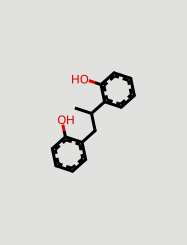 CC(Cc1ccccc1O)c1ccccc1O